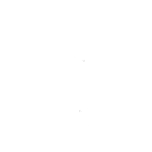 CCOC(=O)[C@H](C)NC(=O)c1ccc(CCNC(=O)Cc2cccc3c2Cc2ccccc2-3)cc1